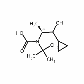 C[C@@H](C(O)C1CC1)N(C(=O)O)C(C)(C)C